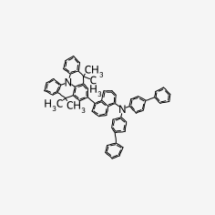 CC1(C)c2ccccc2N2c3ccccc3C(C)(C)c3cc(-c4cccc5c(N(c6ccc(-c7ccccc7)cc6)c6ccc(-c7ccccc7)cc6)cccc45)cc1c32